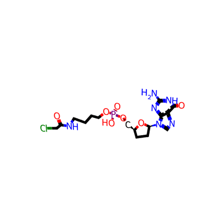 Nc1nc2c(ncn2[C@H]2CC[C@@H](COP(=O)(O)OCCCCNC(=O)CCl)O2)c(=O)[nH]1